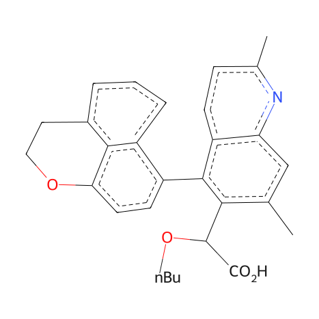 CCCCOC(C(=O)O)c1c(C)cc2nc(C)ccc2c1-c1ccc2c3c(cccc13)CCO2